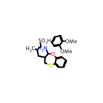 CC(CC1CSc2ccccc2OC1N)CS(=O)(=O)O.COc1ccccc1OC